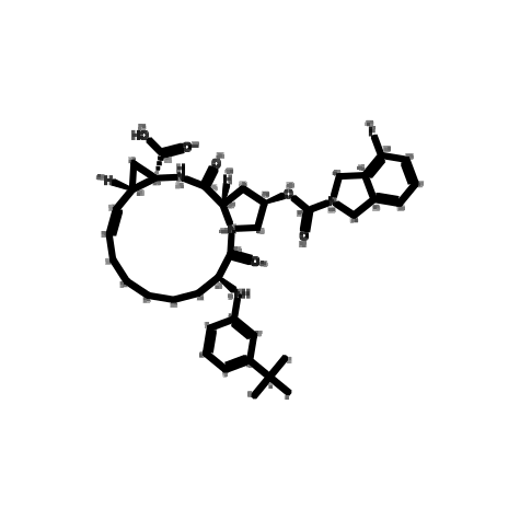 CC(C)(C)c1cccc(N[C@H]2CCCCC/C=C\[C@@H]3C[C@@]3(C(=O)O)NC(=O)[C@@H]3C[C@@H](OC(=O)N4Cc5cccc(F)c5C4)CN3C2=O)c1